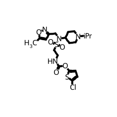 Cc1cc(CN(C2CCN(C(C)C)CC2)S(=O)(=O)CCNC(=O)Oc2ccc(Cl)s2)no1